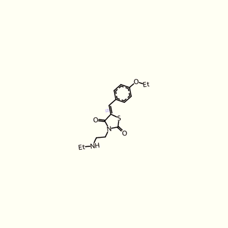 CCNCCN1C(=O)S/C(=C\c2ccc(OCC)cc2)C1=O